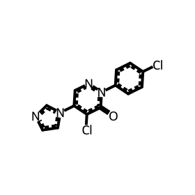 O=c1c(Cl)c(-n2ccnc2)cnn1-c1ccc(Cl)cc1